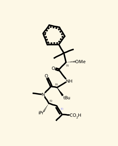 CO[C@H](C(=O)N[C@H](C(=O)N(C)[C@H](/C=C(\C)C(=O)O)C(C)C)C(C)(C)C)C(C)(C)c1ccccc1